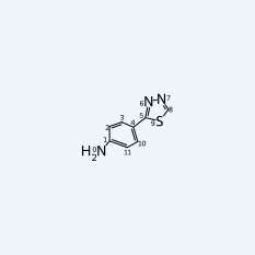 Nc1ccc(-c2nncs2)cc1